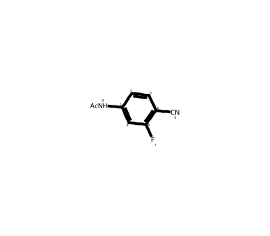 CC(=O)Nc1ccc(C#N)c(F)c1